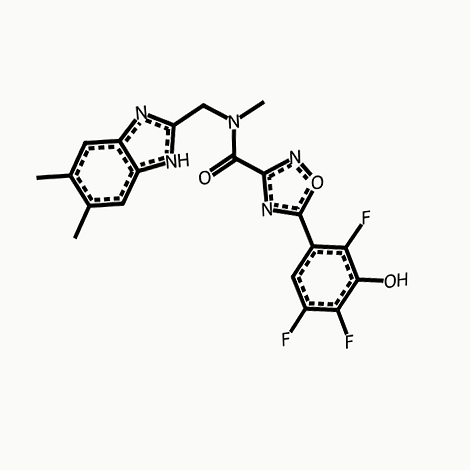 Cc1cc2nc(CN(C)C(=O)c3noc(-c4cc(F)c(F)c(O)c4F)n3)[nH]c2cc1C